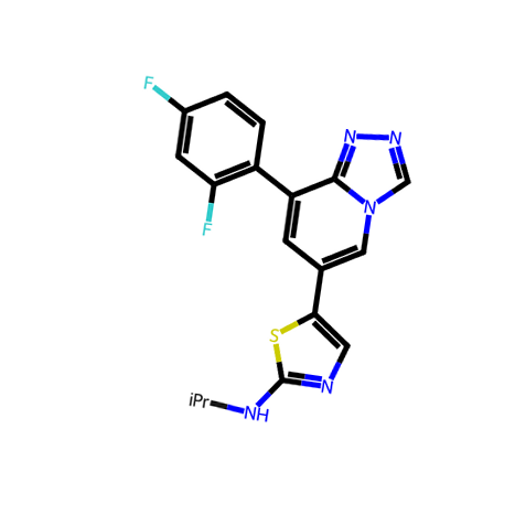 CC(C)Nc1ncc(-c2cc(-c3ccc(F)cc3F)c3nncn3c2)s1